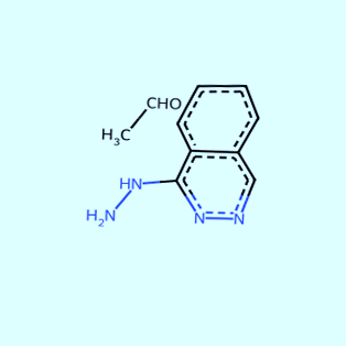 CC=O.NNc1nncc2ccccc12